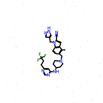 Cc1c(CN2CCC(Nc3cc(CCC(F)(F)F)ncn3)CC2)ccc2c1cc(C#N)n2Cc1cn[nH]c1